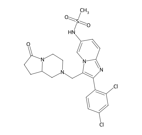 CS(=O)(=O)Nc1ccc2nc(-c3ccc(Cl)cc3Cl)c(CN3CCN4C(=O)CCC4C3)n2c1